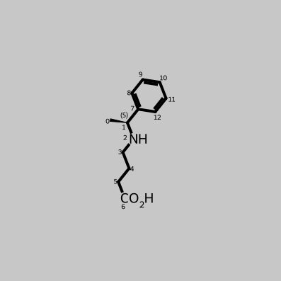 C[C@H](NCCCC(=O)O)c1ccccc1